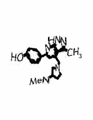 CNC1CCN(Cc2cc(-c3ccc(O)cc3)nc3[nH]nc(C)c23)C1